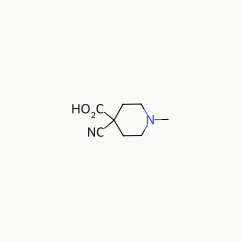 CN1CCC(C#N)(C(=O)O)CC1